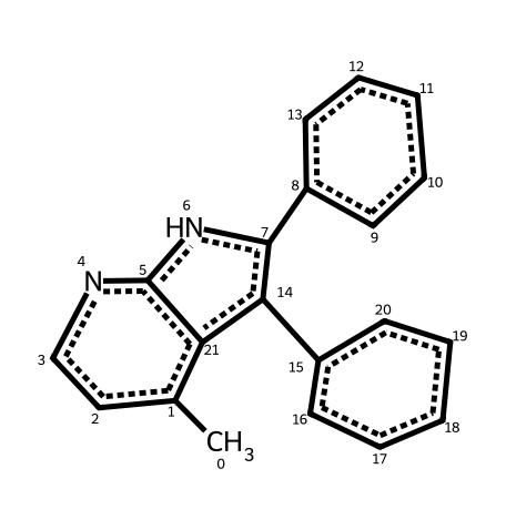 Cc1ccnc2[nH]c(-c3ccccc3)c(-c3ccccc3)c12